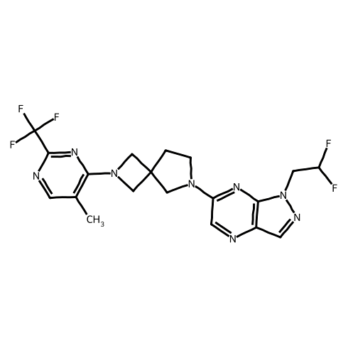 Cc1cnc(C(F)(F)F)nc1N1CC2(CCN(c3cnc4cnn(CC(F)F)c4n3)C2)C1